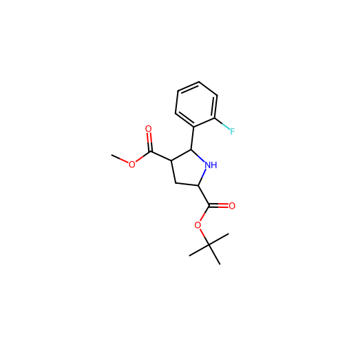 COC(=O)C1CC(C(=O)OC(C)(C)C)NC1c1ccccc1F